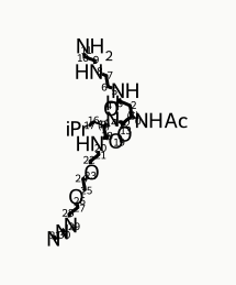 CC(=O)N[C@@H](CC(=O)NCCNCCN)C(=O)N[C@H](CC(C)C)C(=O)NCCOCCOCCN=[N+]=[N-]